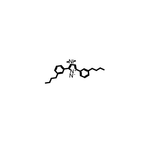 CCCCc1cccc(C2=CC=C(c3cccc(CCCC)c3)[N+]2=[N-])c1.[CH3][Ni][CH3]